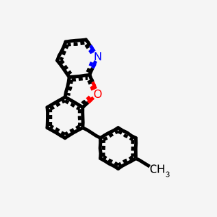 Cc1ccc(-c2cccc3c2oc2ncccc23)cc1